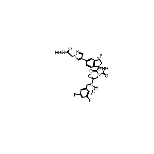 CNC(=O)Cn1cc(-c2ccc3c(c2)[C@H](F)C[C@]32NC(=O)N(CC(=O)N(Cc3cc(F)cc(F)c3)[C@@H](C)C(F)(F)F)C2=O)cn1